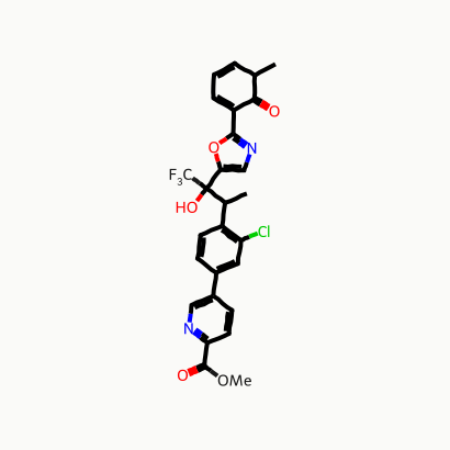 COC(=O)c1ccc(-c2ccc(C(C)C(O)(c3cnc(C4=CC=CC(C)C4=O)o3)C(F)(F)F)c(Cl)c2)cn1